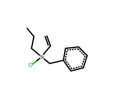 C=C[Si](Cl)(CCC)Cc1ccccc1